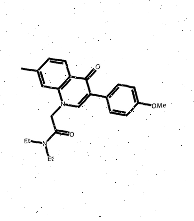 CCN(CC)C(=O)Cn1cc(-c2ccc(OC)cc2)c(=O)c2ccc(C)cc21